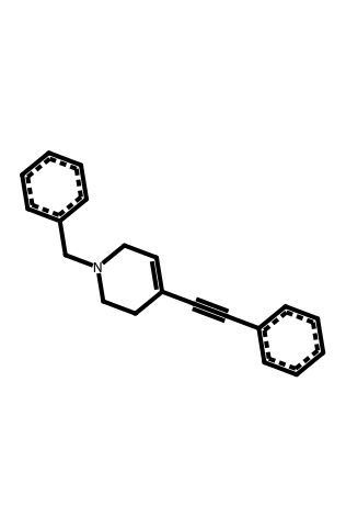 C(#Cc1ccccc1)C1=CCN(Cc2ccccc2)CC1